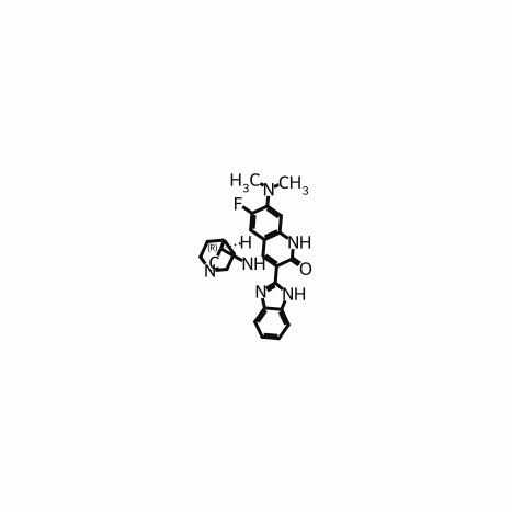 CN(C)c1cc2[nH]c(=O)c(-c3nc4ccccc4[nH]3)c(N[C@H]3CN4CCC3CC4)c2cc1F